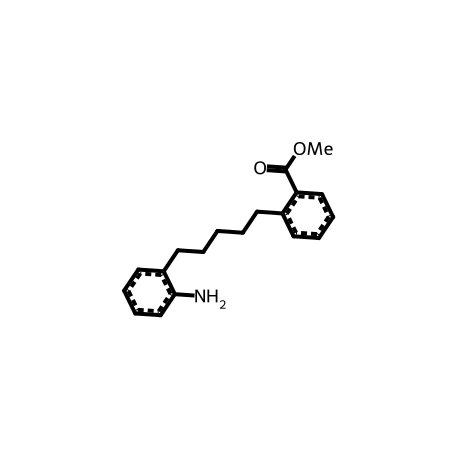 COC(=O)c1ccccc1CCCCCc1ccccc1N